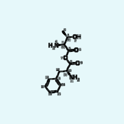 C[C@@H](O)[C@H](N)C(=O)OC(=O)[C@@H](N)Cc1ccccc1